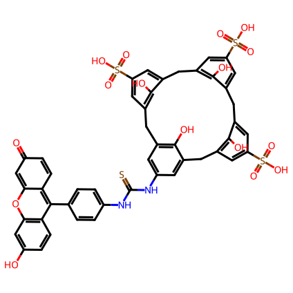 O=c1ccc2c(-c3ccc(NC(=S)Nc4cc5c(O)c(c4)Cc4cc(S(=O)(=O)O)cc(c4O)Cc4cc(S(=O)(=O)O)cc(c4O)Cc4cc(S(=O)(=O)O)cc(c4O)C5)cc3)c3ccc(O)cc3oc-2c1